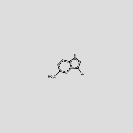 CC(=O)c1c[nH]c2ccc(C(=O)O)nc12